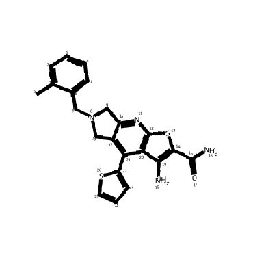 Cc1ccccc1CN1Cc2nc3sc(C(N)=O)c(N)c3c(-c3cccs3)c2C1